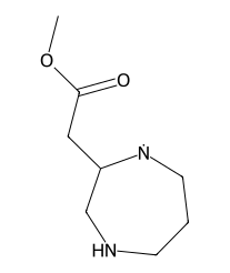 COC(=O)CC1CNCCC[N]1